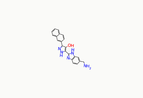 NCc1ccc2nc(-c3[nH]nc(-c4ccc5ccccc5c4)c3O)[nH]c2c1